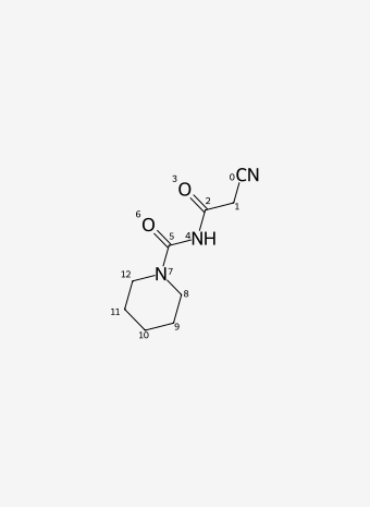 N#CCC(=O)NC(=O)N1CCCCC1